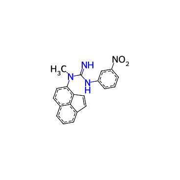 CN(C(=N)Nc1cccc([N+](=O)[O-])c1)c1ccc2cccc3c2c1C=C3